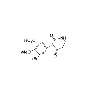 COc1c(C(=O)O)cc(N2C(=O)CCNC2=O)cc1C(C)(C)C